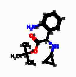 CC(C)(C)OC(=O)[C@@H](NC1CC1)c1ccccc1N